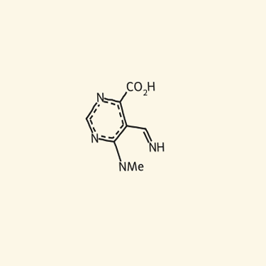 CNc1ncnc(C(=O)O)c1C=N